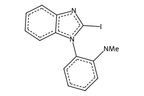 CNc1ccccc1-n1c(I)nc2ccccc21